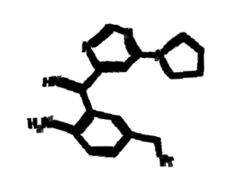 CC(C)Cc1ccc(N)c(C(=N)c2cc(N3CCCC3)ncn2)c1